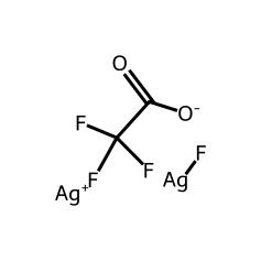 O=C([O-])C(F)(F)F.[Ag+].[F][Ag]